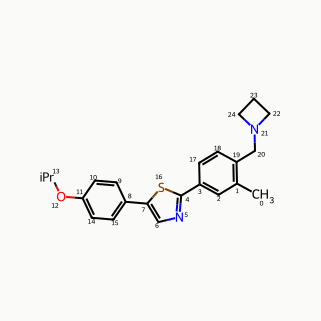 Cc1cc(-c2ncc(-c3ccc(OC(C)C)cc3)s2)ccc1CN1CCC1